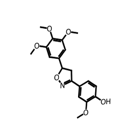 COc1cc(C2=NOC(c3cc(OC)c(OC)c(OC)c3)C2)ccc1O